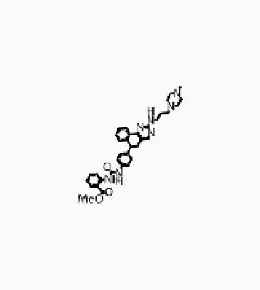 COC(=O)c1ccccc1NC(=O)Nc1ccc(C2Cc3cnc(NCCCN4CCN(C)CC4)nc3-c3ccccc32)cc1